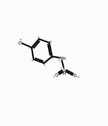 O=[SH](=O)Nc1ccc(Cl)cc1